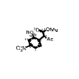 COC(=O)C(C(C)=O)c1ccc([N+](=O)[O-])cc1[N+](=O)[O-]